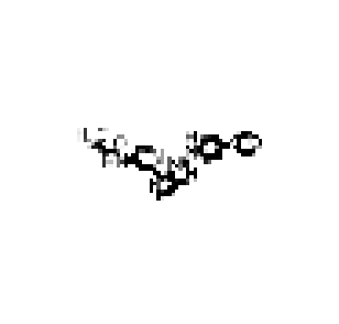 C/C=C\C(=O)Nc1ccnc(-c2nccc3cnc(Nc4ccc(N5CCOCC5)cc4)nc23)c1